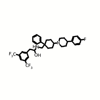 OC(Cc1cc(C(F)(F)F)cc(C(F)(F)F)c1)NCC1(c2ccccc2)CCC(N2CCC(c3ccc(F)cc3)CC2)CC1